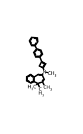 CC1=CC(N(C)C2=C=C(c3ccc(-c4ccccc4)cc3)C2)=Cc2ccccc2C1(C)C